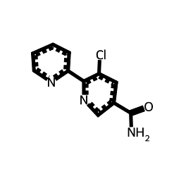 NC(=O)c1cnc(-c2ccccn2)c(Cl)c1